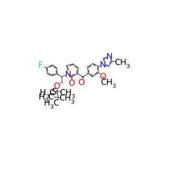 COc1cc(C(=O)c2cccn(C(CO[Si](C)(C)C(C)(C)C)c3ccc(F)cc3)c2=O)ccc1-n1cnc(C)c1